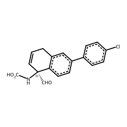 O=C[C@]1(NC(=O)O)C=CCc2cc(-c3ccc(Cl)cc3)ccc21